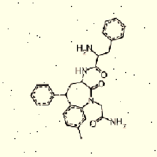 Cc1ccc2c(c1)N(CC(N)=O)C(=O)C(NC(=O)C(N)Cc1ccccc1)CC2c1ccccc1